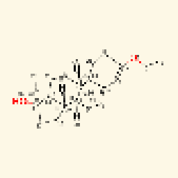 CCOC1=CC2=CC[C@@H]3[C@H](CC[C@]4(CC)[C@@H](O)CC[C@@H]34)[C@H]2CC1